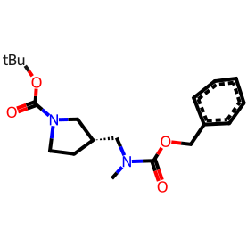 CN(C[C@@H]1CCN(C(=O)OC(C)(C)C)C1)C(=O)OCc1ccccc1